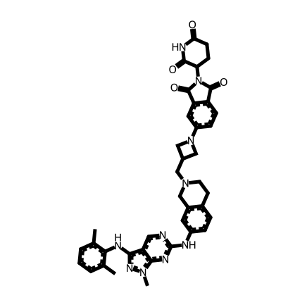 Cc1cccc(C)c1Nc1nn(C)c2nc(Nc3ccc4c(c3)CN(CC3CN(c5ccc6c(c5)C(=O)N(C5CCC(=O)NC5=O)C6=O)C3)CC4)ncc12